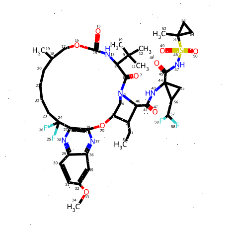 CCC1C2CN(C(=O)C(C(C)(C)C)NC(=O)OCC(C)CCCCC(F)(F)c3nc4ccc(OC)cc4nc3O2)C1C(=O)NC1(C(=O)NS(=O)(=O)C2(C)CC2)CC1C(F)F